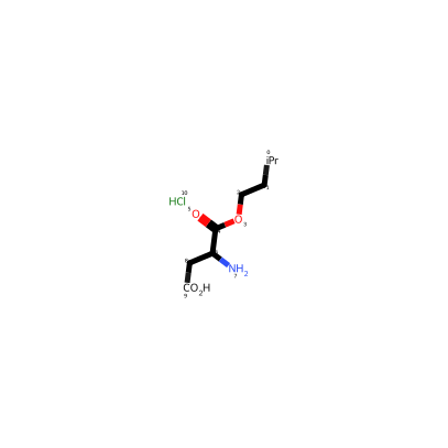 CC(C)CCOC(=O)C(N)CC(=O)O.Cl